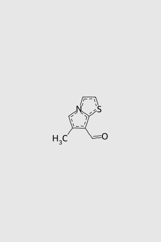 Cc1cn2ccsc2c1C=O